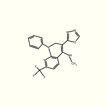 CNC1=C(c2nnco2)CN(c2ccccc2)c2nc(C(F)(F)F)ccc21